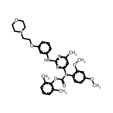 COc1ccc(N(C(=O)Oc2c(C)cccc2C)c2cc(C)nc(Nc3cccc(OCCN4CCOCC4)c3)n2)c(OC)c1